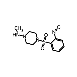 CNN1CCN(S(=O)(=O)c2ccccc2N=O)CC1